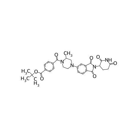 CC1CN(c2ccc3c(c2)C(=O)N(C2CCC(=O)NC2=O)C3=O)CCN1C(=O)c1ccc(C(=O)OC(C)(C)C)cc1